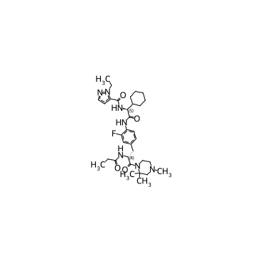 CCC(=O)N[C@H](Cc1ccc(NC(=O)[C@@H](NC(=O)c2ccnn2CC)C2CCCCC2)c(F)c1)C(=O)N1CCN(C)CC1(C)C